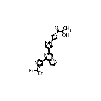 CCC(CC)n1cc(-c2nc(-c3cnn(C4CN(C(=O)C(C)O)C4)c3)cn3nccc23)cn1